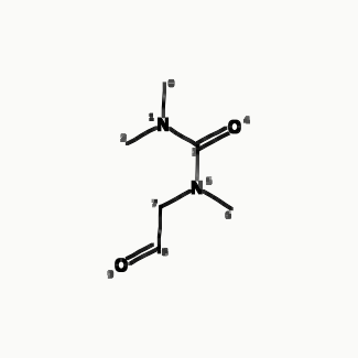 CN(C)C(=O)N(C)C[C]=O